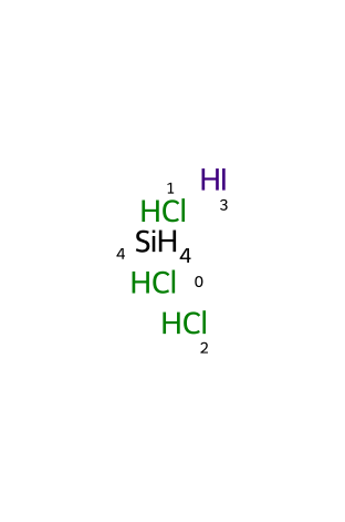 Cl.Cl.Cl.I.[SiH4]